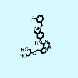 OCC(CO)OCc1ccn2ncnc(Nc3ccc4c(cnn4Cc4cccc(F)c4)c3)c12